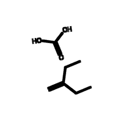 C=C(CC)CC.O=C(O)O